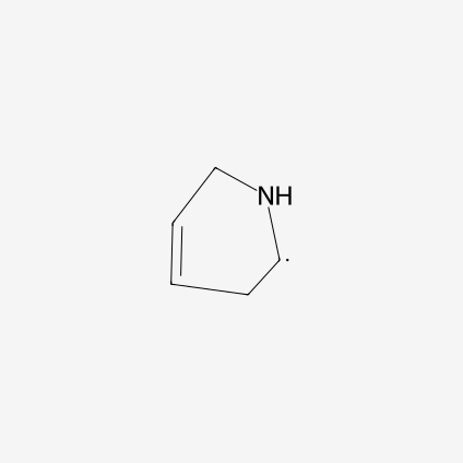 [CH]1CC=CCN1